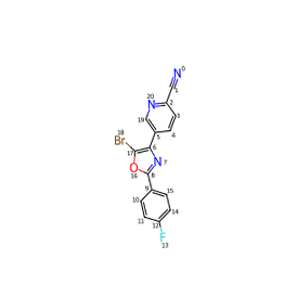 N#Cc1ccc(-c2nc(-c3ccc(F)cc3)oc2Br)cn1